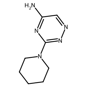 Nc1cnnc(N2CCCCC2)n1